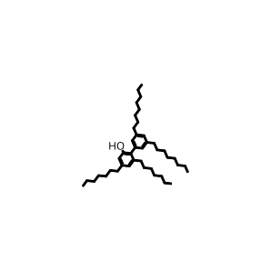 CCCCCCCCc1cc(CCCCCCCC)cc(-c2c(O)cc(CCCCCCC)cc2CCCCCCC)c1